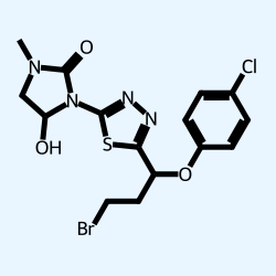 CN1CC(O)N(c2nnc(C(CCBr)Oc3ccc(Cl)cc3)s2)C1=O